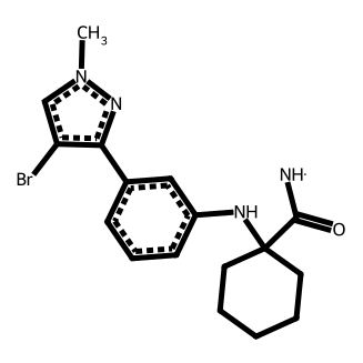 Cn1cc(Br)c(-c2cccc(NC3(C([NH])=O)CCCCC3)c2)n1